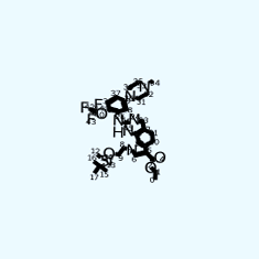 CCOC(=O)c1cn(CCO[Si](C)(C)C(C)(C)C)c2c1CCc1cnc(Nc3cc(N4CCN(C)CC4)ccc3OC(F)(F)F)nc1-2